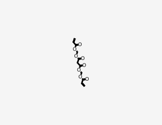 C=CC(=O)OCOC(=O)CC(=O)OCOC(=O)C=C